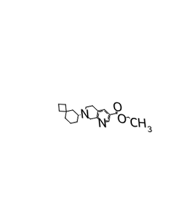 CCOC(=O)c1cnc2c(c1)CCN([C@@H]1CCCC3(CCC3)C1)C2